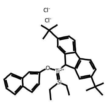 CC[Si](CC)=[Ti+2]([O]c1ccc2ccccc2c1)[CH]1c2cc(C(C)(C)C)ccc2-c2ccc(C(C)(C)C)cc21.[Cl-].[Cl-]